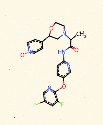 CC(C(=O)Nc1ccc(Oc2ncc(F)cc2F)cn1)N1CCOC(c2cc[n+]([O-])cc2)C1